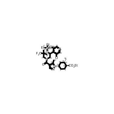 CCOC(=O)[C@H]1CC[C@H](n2ncc(C(=O)N(CC(O[Si](CC)(CC)CC)c3c(Cl)cncc3Cl)CC(C)(C)C(F)(F)F)c2C)C[C@@H]1C